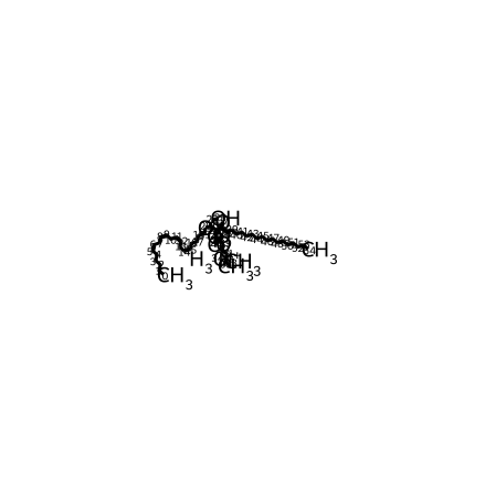 CCCCC/C=C\C/C=C\C/C=C\C/C=C\CCCCO[C@@H](CO)C(OP(=O)([O-])OCC[N+](C)(C)C)C(=O)CCCCCCCCCCCCCCCCC